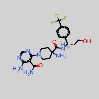 NC(=O)c1c(N)ncnc1N1CCC(N)(C(=O)N[C@@H](CCO)c2ccc(C(F)(F)F)cc2)CC1